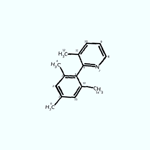 Cc1cc(C)c(-c2ncccc2C)c(C)c1